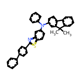 CC1(C)c2ccccc2-c2ccc(N(c3ccccc3)c3ccc4sc(-c5ccc(-c6ccccc6)cc5)nc4c3)cc21